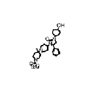 CC(C)(C)OC(=O)N1CCC(C)(N2CCC(N3C(=O)N(C4CCC(O)CC4)C[C@H]3c3ccccc3)CC2)CC1